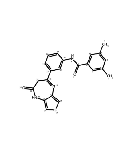 Cc1cc(C)cc(C(=O)Nc2cccc(C3=Nc4cscc4NC(=O)C3)c2)c1